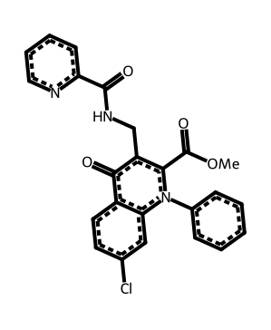 COC(=O)c1c(CNC(=O)c2ccccn2)c(=O)c2ccc(Cl)cc2n1-c1ccccc1